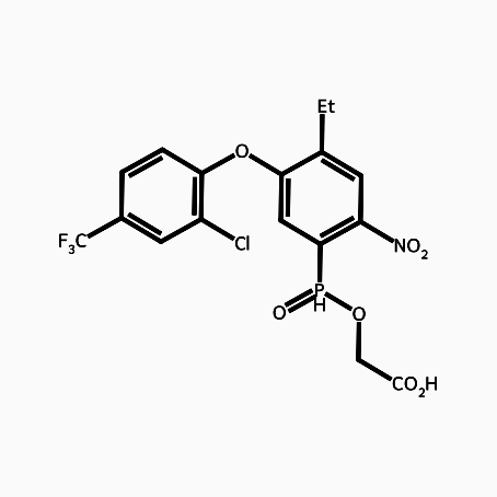 CCc1cc([N+](=O)[O-])c([PH](=O)OCC(=O)O)cc1Oc1ccc(C(F)(F)F)cc1Cl